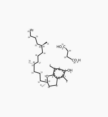 Cc1cc(O)c(C)c2c1O[C@](C)(CCC[C@H](C)CCC[C@H](C)CCCC(C)C)CC2.O=C(O)CCC(=O)O